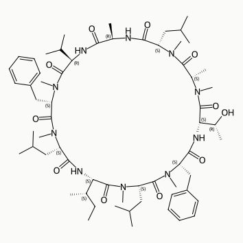 CC[C@H](C)[C@@H]1NC(=O)[C@H](CC(C)C)N(C)C(=O)[C@H](Cc2ccccc2)N(C)C(=O)[C@@H](C(C)C)NC(=O)[C@@H](C)NC(=O)[C@H](CC(C)C)N(C)C(=O)[C@H](C)N(C)C(=O)[C@H]([C@@H](C)O)NC(=O)[C@H](Cc2ccccc2)N(C)C(=O)[C@H](CC(C)C)N(C)C1=O